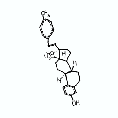 C[C@]12CC[C@@H]3c4ccc(O)cc4CC[C@H]3[C@@H]1CC[C@]2(O)C=Cc1ccc(C(F)(F)F)cc1